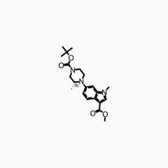 COC(=O)c1cn(C)c2cc(N3CCN(C(=O)OC(C)(C)C)C[C@H]3C)ccc12